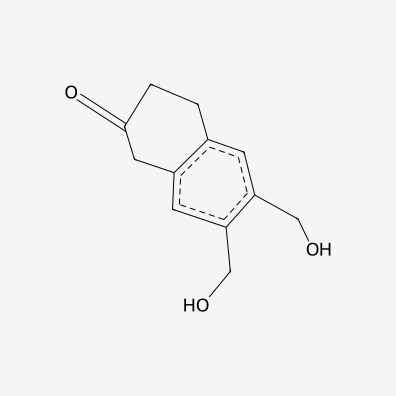 O=C1CCc2cc(CO)c(CO)cc2C1